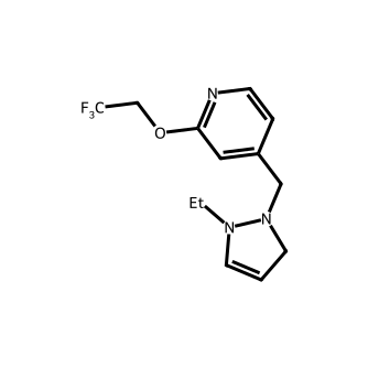 CCN1C=CCN1Cc1ccnc(OCC(F)(F)F)c1